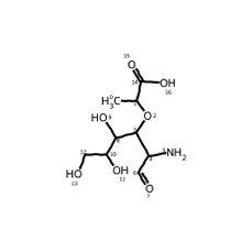 CC(OC(C(N)C=O)C(O)C(O)CO)C(=O)O